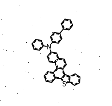 c1ccc(-c2ccc(N(c3ccccc3)c3ccc4c(ccc5c4c4ccccc4c4sc6ccccc6c54)c3)cc2)cc1